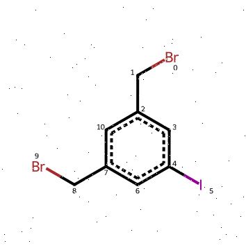 BrCc1cc(I)cc(CBr)c1